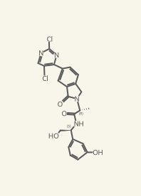 C[C@H](C(=O)N[C@H](CO)c1cccc(O)c1)N1Cc2ccc(-c3nc(Cl)ncc3Cl)cc2C1=O